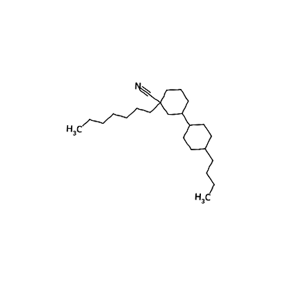 CCCCCCCC1(C#N)CCCC(C2CCC(CCCC)CC2)C1